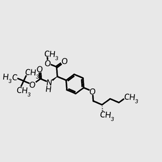 CCC[C@H](C)COc1ccc([C@@H](NC(=O)OC(C)(C)C)C(=O)OC)cc1